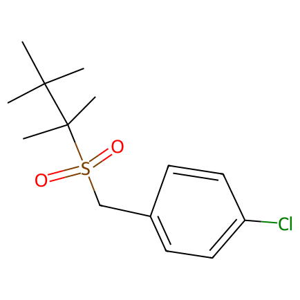 CC(C)(C)C(C)(C)S(=O)(=O)Cc1ccc(Cl)cc1